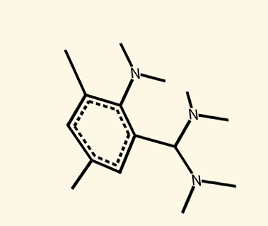 Cc1cc(C)c(N(C)C)c(C(N(C)C)N(C)C)c1